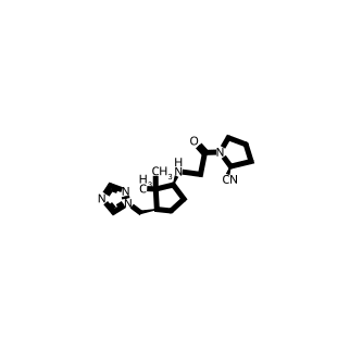 CC1(C)[C@H](Cn2cncn2)CC[C@@H]1NCC(=O)N1CCC[C@H]1C#N